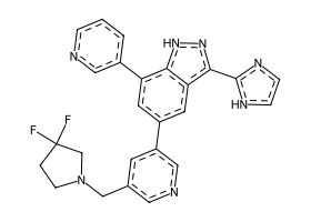 FC1(F)CCN(Cc2cncc(-c3cc(-c4cccnc4)c4[nH]nc(-c5ncc[nH]5)c4c3)c2)C1